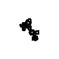 CCS(=O)(=O)N[C@H]1CCOC[C@@H]1COc1ccc(-n2cccn2)c(Cl)c1